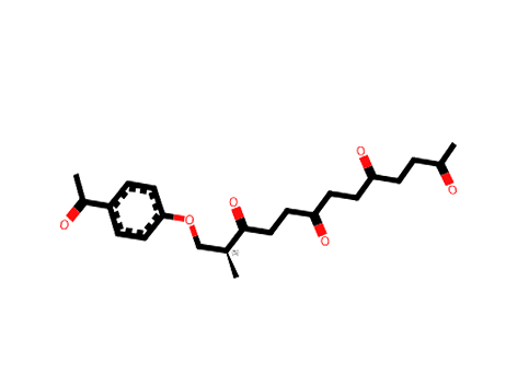 CC(=O)CCC(=O)CCC(=O)CCC(=O)[C@@H](C)COc1ccc(C(C)=O)cc1